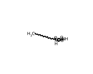 CCCCCCCCCCCCCCCCCC(=O)Nc1ccc(S([NH])(=O)=O)cc1